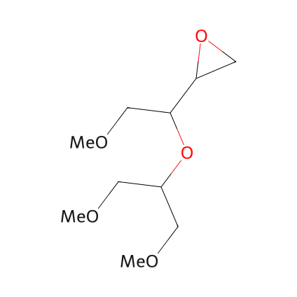 COCC(COC)OC(COC)C1CO1